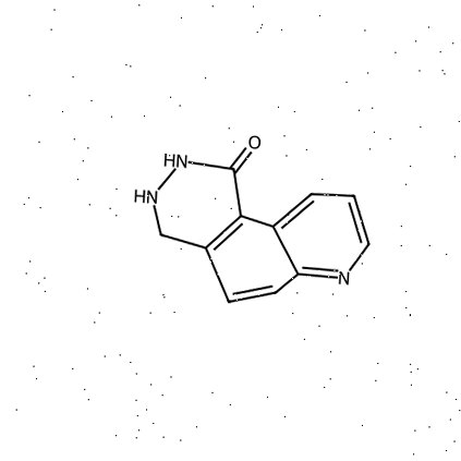 O=C1NNCc2ccc3ncccc3c21